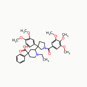 CCN1CCC(C(=O)O)(c2ccccc2)CC1C1(c2ccc(OC)c(OC)c2)CCN(C(=O)c2cc(OC)c(OC)c(OC)c2)C1